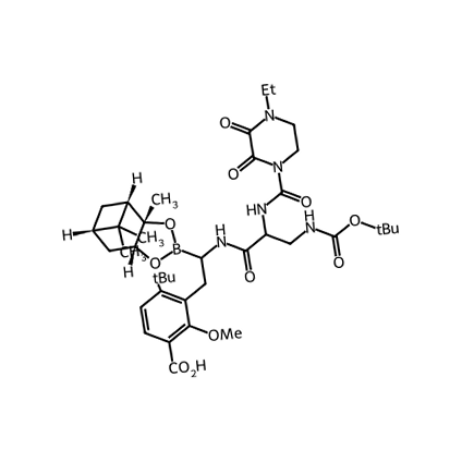 CCN1CCN(C(=O)NC(CNC(=O)OC(C)(C)C)C(=O)NC(Cc2c(C(C)(C)C)ccc(C(=O)O)c2OC)B2O[C@@H]3C[C@@H]4C[C@@H](C4(C)C)[C@]3(C)O2)C(=O)C1=O